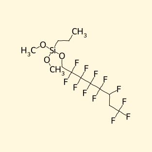 CCC[Si](OC)(OC)OCC(F)(F)C(F)(F)C(F)(F)C(F)(F)C(F)CC(F)(F)F